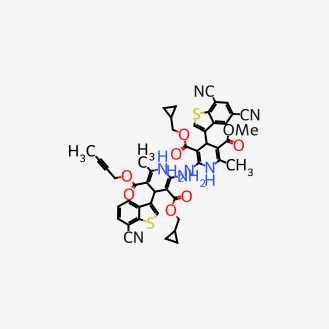 CC#CCOC(=O)C1=C(C)NC(N)=C(C(=O)OCC2CC2)C1c1csc2c(C#N)cccc12.COC(=O)C1=C(C)NC(N)=C(C(=O)OCC2CC2)C1c1csc2c(C#N)cc(C#N)cc12